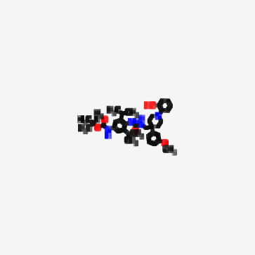 COc1cccc(C2(CNC(=O)Nc3c(C(C)C)cc(NC(=O)OC(C)(C)C)cc3C(C)C)CCN(c3ccccc3O)CC2)c1